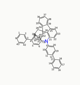 c1ccc(-c2ccc(N(c3ccc(-c4ccccc4)cc3)c3cccc4c3C3(CC5CCC3C5)c3ccccc3-4)cc2)cc1